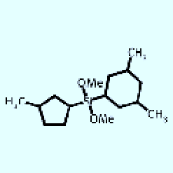 CO[Si](OC)(C1CCC(C)C1)C1CC(C)CC(C)C1